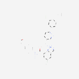 COc1ccc(-c2ccc(Cn3ncc4cc(Cl)cc(C(=O)NC5CCC(CC(=O)O)CC5)c43)cn2)cc1F